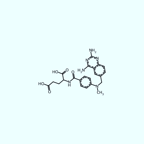 CN(Cc1ccc2nc(N)nc(N)c2c1)c1ccc(C(=O)NC(CCC(=O)O)C(=O)O)cc1